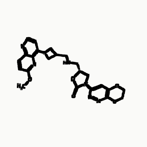 COc1ccc2nccc(N3CC(CNC[C@@H]4CN(c5cc6c(nn5)OCCO6)C(=O)O4)C3)c2n1